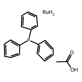 CC(=O)O.[RuH2].c1ccc(P(c2ccccc2)c2ccccc2)cc1